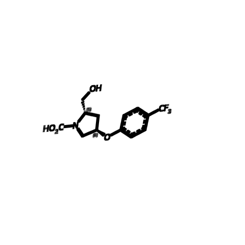 O=C(O)N1C[C@H](Oc2ccc(C(F)(F)F)cc2)C[C@H]1CO